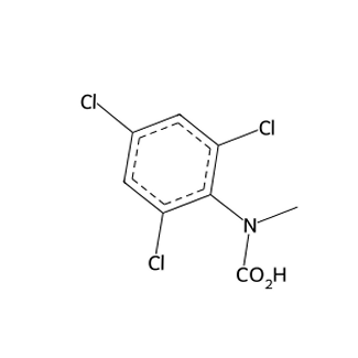 CN(C(=O)O)c1c(Cl)cc(Cl)cc1Cl